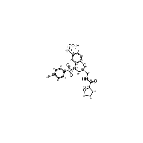 O=C(O)Nc1ccc2c(c1)N(S(=O)(=O)c1ccc(F)cc1)C[C@H](CNC(=O)C1CCCO1)O2